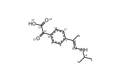 C/C(=N\NC(C)C)c1ccc(C(=O)C(=O)O)cc1